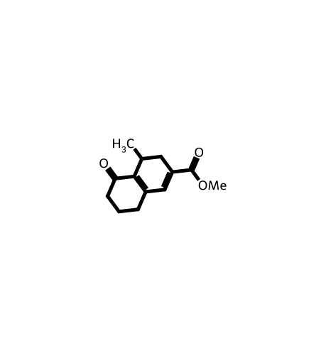 COC(=O)C1=CC2=C(C(=O)CCC2)C(C)C1